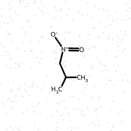 C[C](C)C[N+](=O)[O-]